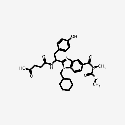 COC(=O)N(C)C(=O)c1ccc2c(c1)nc(C(Cc1ccc(O)cc1)NC(=O)CCC(=O)O)n2CC1CCCCC1